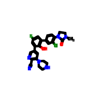 CN1CCN(c2ccc(-c3cc(F)cc(-c4cnc(C#N)c(N5CCNCC5)c4)c3O)cc2Cl)C1=O